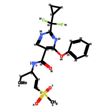 COCC(/C=C/S(C)(=O)=O)NC(=O)c1cnc(C(F)(F)C2CC2)nc1Oc1ccccc1